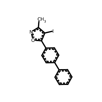 Cc1noc(-c2ccc(-c3ccccc3)cc2)c1I